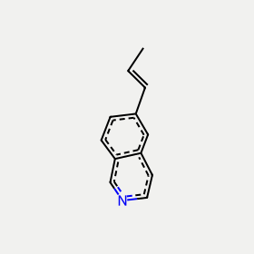 C/C=C/c1ccc2cnccc2c1